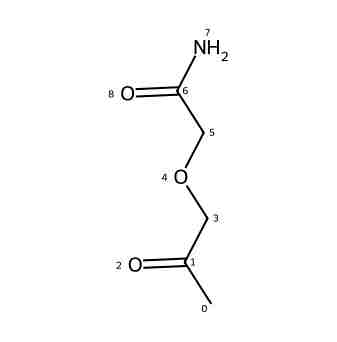 CC(=O)COCC(N)=O